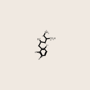 CCC(Cc1c(F)ccc(F)c1F)CC(CN)C(=O)O